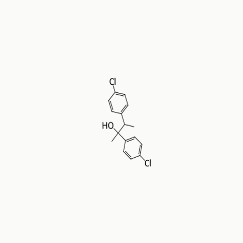 CC(c1ccc(Cl)cc1)C(C)(O)c1ccc(Cl)cc1